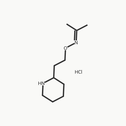 CC(C)=NOCCC1CCCCN1.Cl